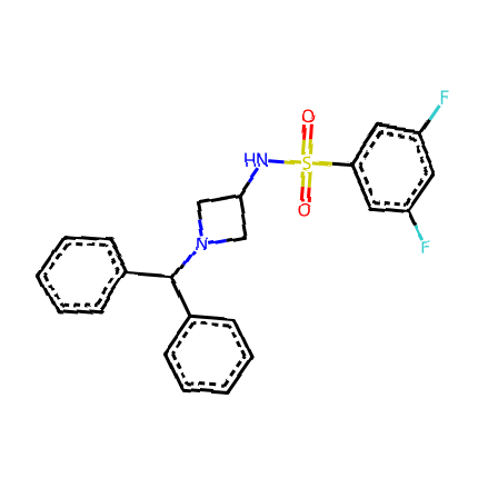 O=S(=O)(NC1CN(C(c2ccccc2)c2ccccc2)C1)c1cc(F)cc(F)c1